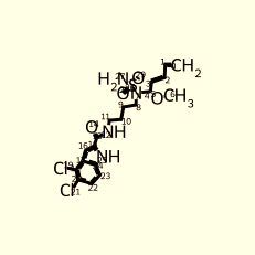 C=CC=CC(OC)N(CCCCNC(=O)c1cc2c(Cl)c(Cl)ccc2[nH]1)S(N)(=O)=O